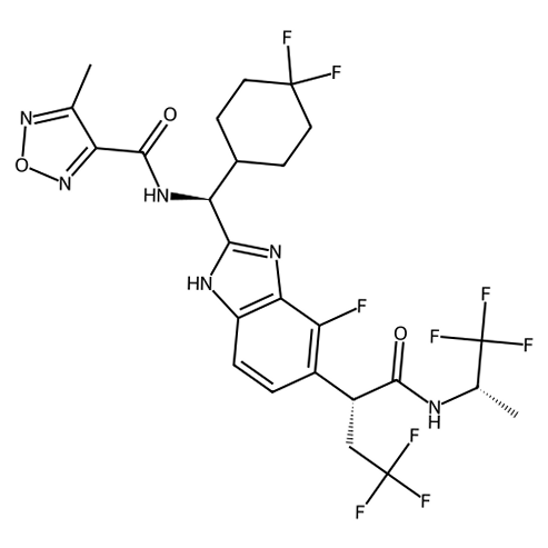 Cc1nonc1C(=O)N[C@H](c1nc2c(F)c([C@@H](CC(F)(F)F)C(=O)N[C@@H](C)C(F)(F)F)ccc2[nH]1)C1CCC(F)(F)CC1